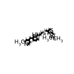 Cc1cc(Cc2ccnc(NCCSCc3csc(CN(C)C)n3)n2)ccn1